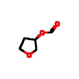 O=CO[C@@H]1CCOC1